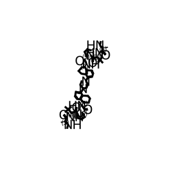 CN[C@@H](C)C(=O)N[C@H](C(=O)N1CCC[C@H]1C(=O)N[C@@H]1CCCc2c1cccc2N1CCN(c2cccc3c2CCC[C@H]3NC(=O)[C@@H]2CCCN2C(=O)[C@@H](NC(=O)[C@H](C)NC)C(C)(C)C)CC1)C(C)(C)C